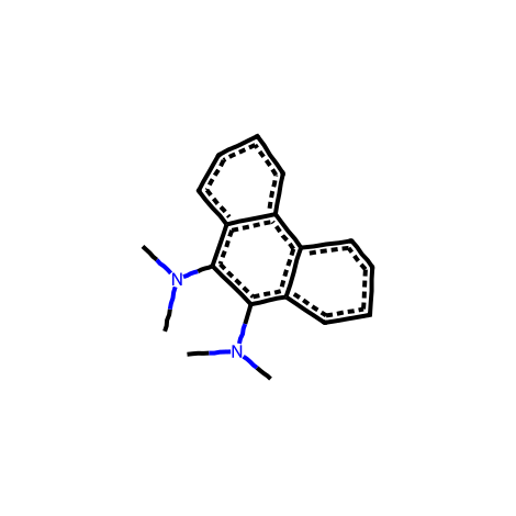 CN(C)c1c(N(C)C)c2ccccc2c2ccccc12